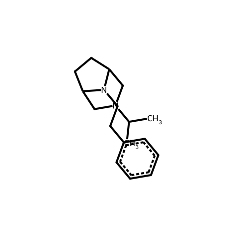 CC(C)N1CC2CCC(C1)N2CCc1ccccc1